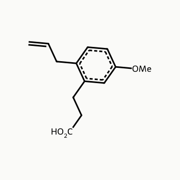 C=CCc1ccc(OC)cc1CCC(=O)O